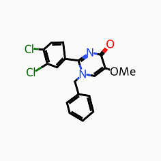 COc1cn(Cc2ccccc2)c(-c2ccc(Cl)c(Cl)c2)nc1=O